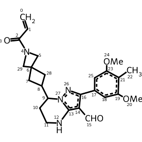 C=CC(=O)N1CC2(CC(C3CCNc4c(C=O)c(-c5cc(OC)c(C)c(OC)c5)nn43)C2)C1